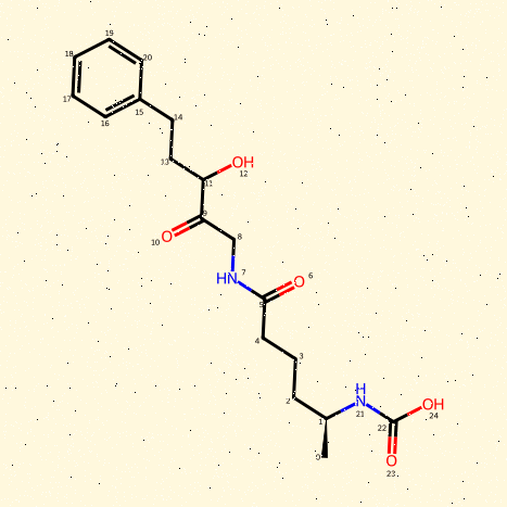 C[C@@H](CCCC(=O)NCC(=O)C(O)CCc1ccccc1)NC(=O)O